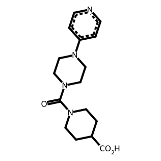 O=C(O)C1CCN(C(=O)N2CCN(c3ccncc3)CC2)CC1